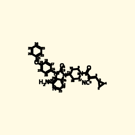 N#C/C(=C\C1CC1)C(=O)N1CCC(n2c(=O)n(-c3ccc(Oc4ccccc4)cc3)c3c(N)ncnc32)CC1